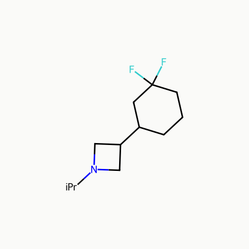 CC(C)N1CC(C2CCCC(F)(F)C2)C1